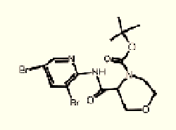 CC(C)(C)OC(=O)N1CCOCC1C(=O)Nc1ncc(Br)cc1Br